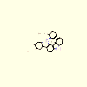 CC1CC(C)C(C2=C(NC3C=CCCC3C)C3=C(CC2)NC2CCC=CC32C)CC1C